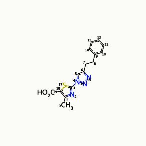 Cc1nc(-n2cc(CCc3ccccc3)nn2)sc1C(=O)O